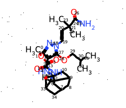 COC(=O)N[C@]12CC3CC(C1)[C@@H](NC(=O)c1cnn(/C=C/C(C)(C)C(N)=O)c1OCC(C)C)C(C3)C2